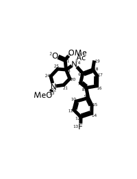 COC(=O)C1(N(C(C)=O)c2cc(-c3ccc(F)cc3)ccc2C)CCN(OC)CC1